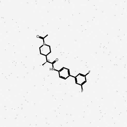 CC(=O)N1CCC([C@H](C)C(=O)Nc2ccc(-c3cc(F)cc(F)c3)cc2)CC1